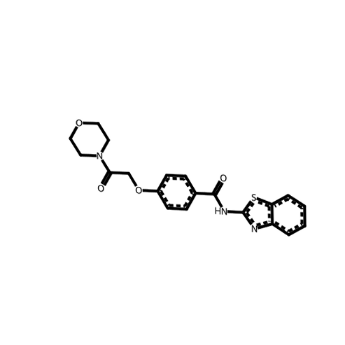 O=C(Nc1nc2ccccc2s1)c1ccc(OCC(=O)N2CCOCC2)cc1